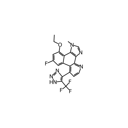 CCOc1cc(F)cc2c3c(-c4nn[nH]c4C(F)(F)F)ccnc3c3ncn(C)c3c12